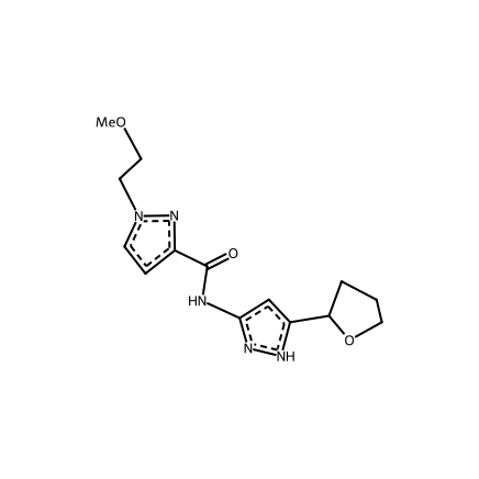 COCCn1ccc(C(=O)Nc2cc(C3CCCO3)[nH]n2)n1